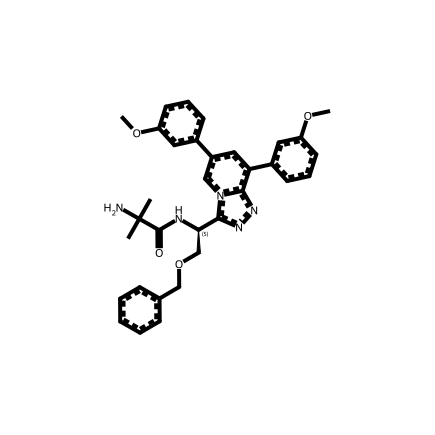 COc1cccc(-c2cc(-c3cccc(OC)c3)c3nnc([C@@H](COCc4ccccc4)NC(=O)C(C)(C)N)n3c2)c1